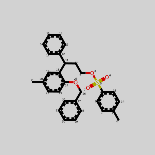 Cc1ccc(S(=O)(=O)OCCC(c2ccccc2)c2cc(C)ccc2OCc2ccccc2)cc1